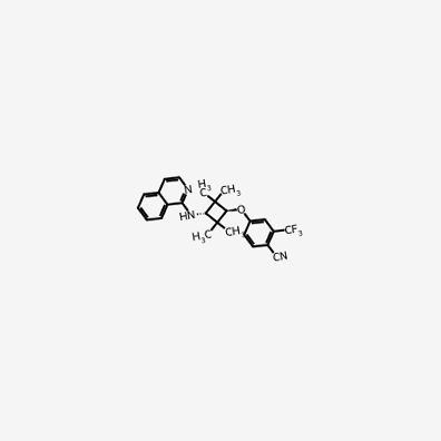 CC1(C)[C@H](Nc2nccc3ccccc23)C(C)(C)[C@H]1Oc1ccc(C#N)c(C(F)(F)F)c1